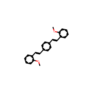 COc1ccccc1C=Cc1ccc(C=Cc2ccccc2OC)cc1